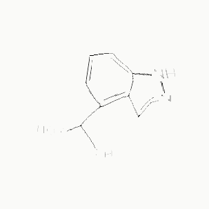 O=C(O)C(O)c1cccc2[nH]ncc12